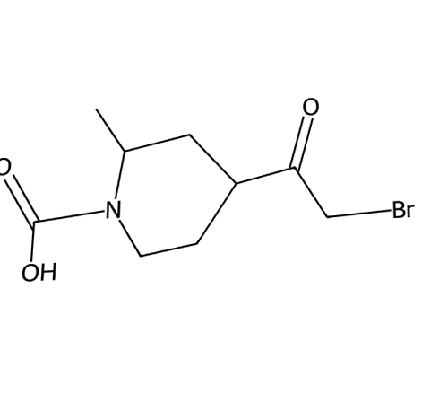 CC1CC(C(=O)CBr)CCN1C(=O)O